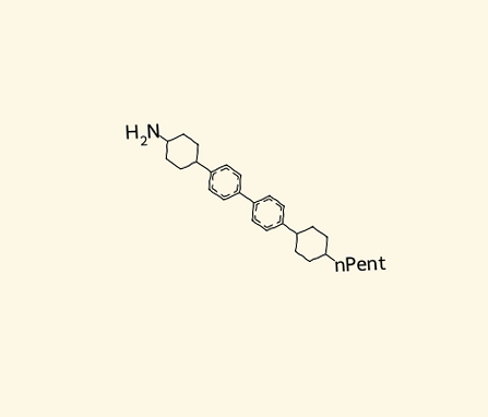 CCCCCC1CCC(c2ccc(-c3ccc(C4CCC(N)CC4)cc3)cc2)CC1